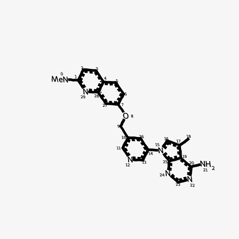 CNc1ccc2ccc(OCc3cncc(-n4cc(C)c5c(N)ncnc54)c3)cc2n1